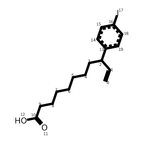 C=CC(CCCCCCCC(=O)O)c1ccc(I)cc1